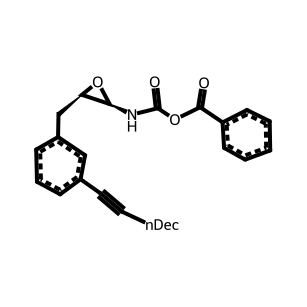 CCCCCCCCCCC#Cc1cccc(C[C@H]2O[C@H]2NC(=O)OC(=O)c2ccccc2)c1